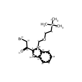 CS(C)(C)CCOCn1c(C(=O)CBr)nc2ccccc21